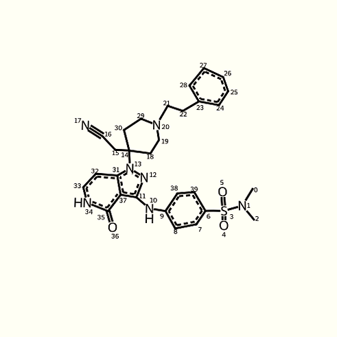 CN(C)S(=O)(=O)c1ccc(Nc2nn(C3(CC#N)CCN(CCc4ccccc4)CC3)c3cc[nH]c(=O)c23)cc1